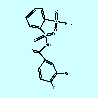 NS(=O)(=O)c1ccccc1S(=O)(=O)NC(=O)c1ccc(F)c(Br)c1